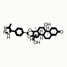 Cc1nn[nH]c1-c1ccc([C@@H]2O[C@@H]3C[C@H]4[C@@H]5CCC6=CC(=O)C=C[C@]6(C)[C@H]5[C@@H](O)C[C@]4(C)[C@]3(C(=O)CO)O2)cc1